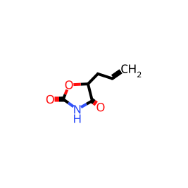 C=CCC1OC(=O)NC1=O